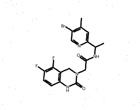 Cc1cc(C(C)NC(=O)CN2Cc3c(ccc(F)c3F)NC2=O)ncc1Br